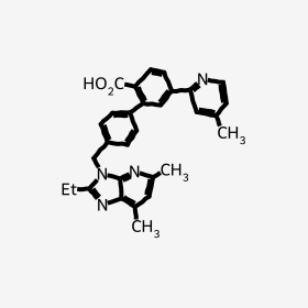 CCc1nc2c(C)cc(C)nc2n1Cc1ccc(-c2cc(-c3cc(C)ccn3)ccc2C(=O)O)cc1